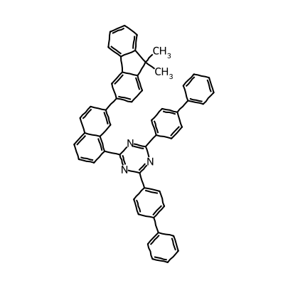 CC1(C)c2ccccc2-c2cc(-c3ccc4cccc(-c5nc(-c6ccc(-c7ccccc7)cc6)nc(-c6ccc(-c7ccccc7)cc6)n5)c4c3)ccc21